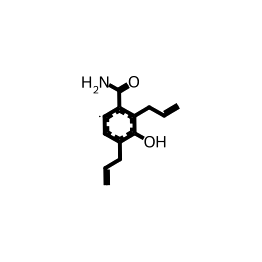 C=CCc1c[c]c(C(N)=O)c(CC=C)c1O